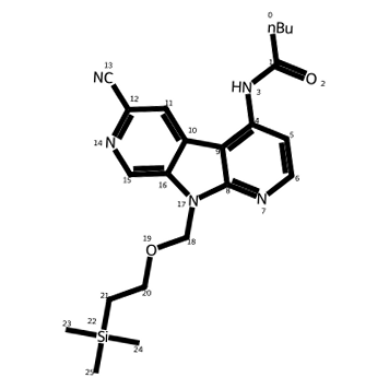 CCCCC(=O)Nc1ccnc2c1c1cc(C#N)ncc1n2COCC[Si](C)(C)C